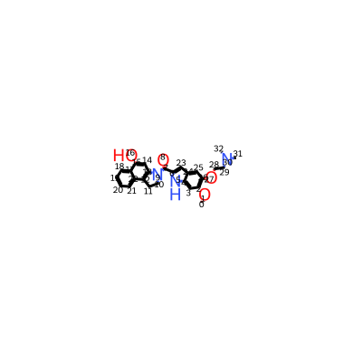 COc1cc2[nH]c(C(=O)N3CCc4c3cc(O)c3ccccc43)cc2cc1OCCN(C)C